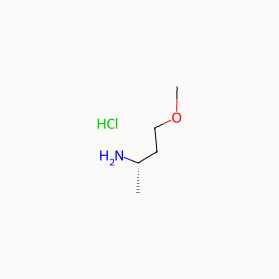 COCC[C@H](C)N.Cl